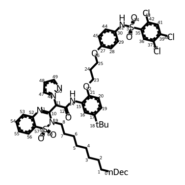 CCCCCCCCCCCCCCCCCCN1C(C(C(=O)Nc2cc(C(C)(C)C)ccc2OCCCOc2ccc(NS(=O)(=O)c3cc(Cl)c(Cl)cc3Cl)cc2)n2cccn2)=Nc2ccccc2S1(=O)=O